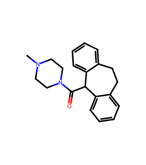 CN1CCN(C(=O)C2c3ccccc3CCc3ccccc32)CC1